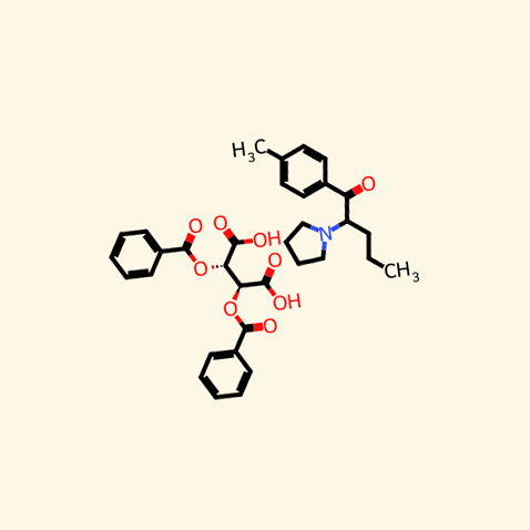 CCCC(C(=O)c1ccc(C)cc1)N1CCCC1.O=C(O[C@H](C(=O)O)[C@H](OC(=O)c1ccccc1)C(=O)O)c1ccccc1